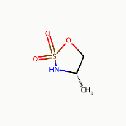 C[C@H]1COS(=O)(=O)N1